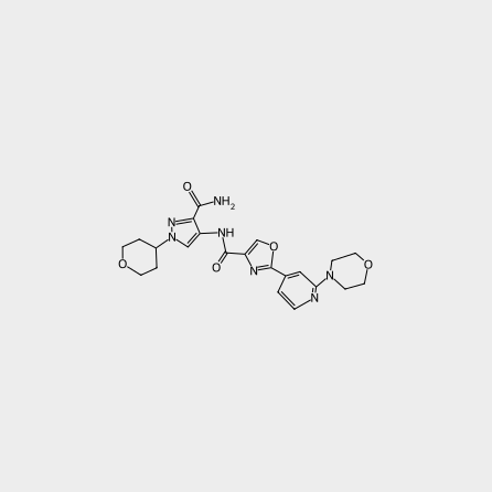 NC(=O)c1nn(C2CCOCC2)cc1NC(=O)c1coc(-c2ccnc(N3CCOCC3)c2)n1